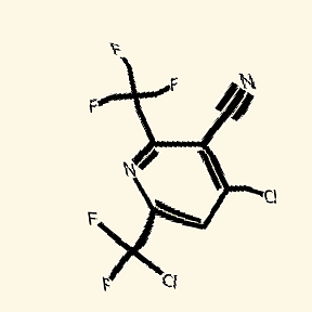 N#Cc1c(Cl)cc(C(F)(F)Cl)nc1C(F)(F)F